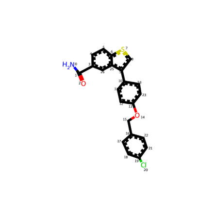 NC(=O)c1ccc2scc(-c3ccc(OCc4ccc(Cl)cc4)cc3)c2c1